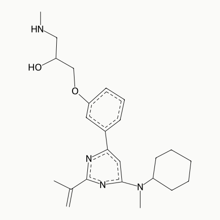 C=C(C)c1nc(-c2cccc(OCC(O)CNC)c2)cc(N(C)C2CCCCC2)n1